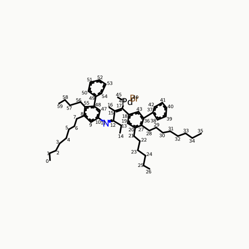 CCCCCCCCc1cc(N=C(CC)C(C)=[C](c2cc(CCCCCC)c(CCCCCCCC)c(-c3ccccc3)c2)[Pd]([CH3])[Br])cc(-c2ccccc2)c1CCCC